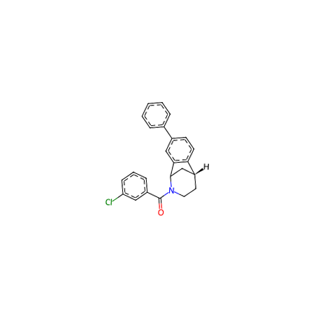 O=C(c1cccc(Cl)c1)N1CC[C@@H]2CC1c1cc(-c3ccccc3)ccc12